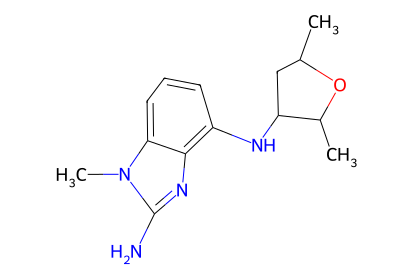 CC1CC(Nc2cccc3c2nc(N)n3C)C(C)O1